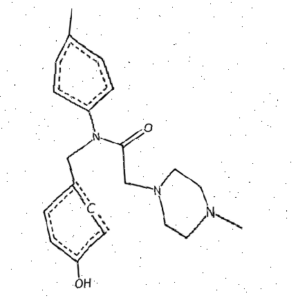 Cc1ccc(N(Cc2ccc(O)cc2)C(=O)CN2CCN(C)CC2)cc1